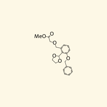 COC(=O)COCc1cccc(OCc2ccccc2)c1C1OCCO1